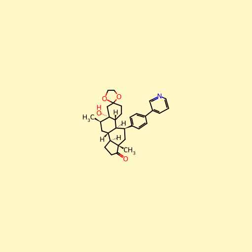 C[C@@H]1C[C@@H]2[C@H]([C@@H](c3ccc(-c4cccnc4)cc3)C[C@]3(C)C(=O)CC[C@@H]23)[C@H]2CCC3(C[C@]12O)OCCO3